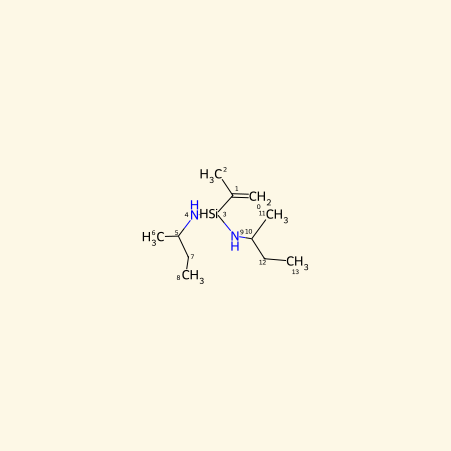 C=C(C)[SiH](NC(C)CC)NC(C)CC